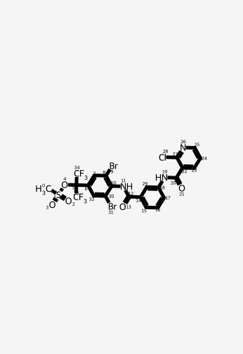 CS(=O)(=O)OC(c1cc(Br)c(NC(=O)c2cccc(NC(=O)c3cccnc3Cl)c2)c(Br)c1)(C(F)(F)F)C(F)(F)F